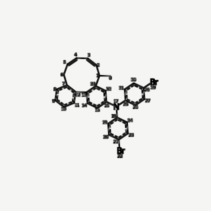 CC1/C=C\C=C/Cc2ccccc2-c2ccc(N(c3ccc(Br)cc3)c3ccc(Br)cc3)cc21